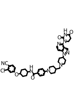 N#Cc1ccc(OC2CCC(NC(=O)c3ccc(N4CCC(CN5CCC(n6ncc7c(N8CCC(=O)NC8=O)nccc76)CC5)CC4)cc3)CC2)cc1Cl